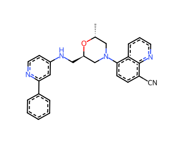 C[C@@H]1CN(c2ccc(C#N)c3ncccc23)C[C@@H](CNc2ccnc(-c3ccccc3)c2)O1